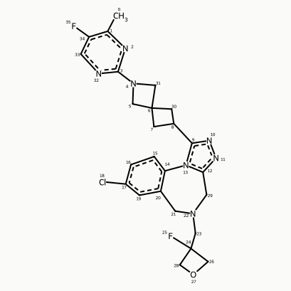 Cc1nc(N2CC3(CC(c4nnc5n4-c4ccc(Cl)cc4CN(CC4(F)COC4)C5)C3)C2)ncc1F